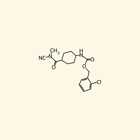 CN(C#N)C(=O)C1CCC(NC(=O)OCc2ccccc2Cl)CC1